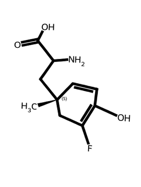 C[C@@]1(CC(N)C(=O)O)C=CC(O)=C(F)C1